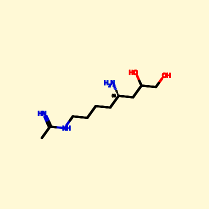 CC(=N)NCCCC[C@H](N)CC(O)CO